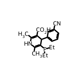 CCP(CC)C1=C(C)NC(C)=C(C(=O)O)C1c1cccc(C#N)c1